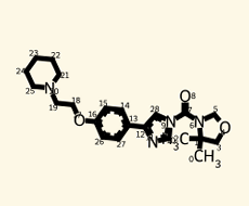 CC1(C)COCN1C(=O)n1cnc(-c2ccc(OCCN3CCCCC3)cc2)c1